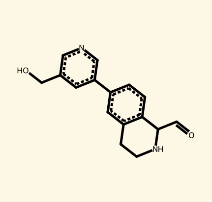 O=CC1NCCc2cc(-c3cncc(CO)c3)ccc21